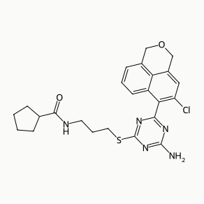 Nc1nc(SCCCNC(=O)C2CCCC2)nc(-c2c(Cl)cc3c4c(cccc24)COC3)n1